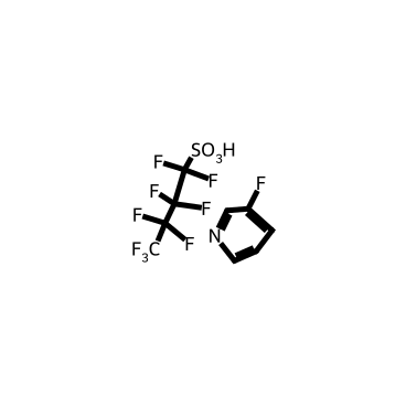 Fc1cccnc1.O=S(=O)(O)C(F)(F)C(F)(F)C(F)(F)C(F)(F)F